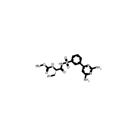 CC(C)C[C@H](NC(=O)OC(C)(C)C)C(=O)NS(=O)(=O)c1cccc(-c2cc(N)nc(N)n2)c1